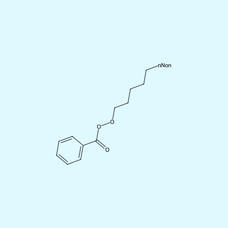 [CH2]CCCCCCCCCCCCCOOC(=O)c1ccccc1